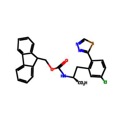 O=C(N[C@@H](Cc1cc(Cl)ccc1-c1nncs1)C(=O)O)OCC1c2ccccc2-c2ccccc21